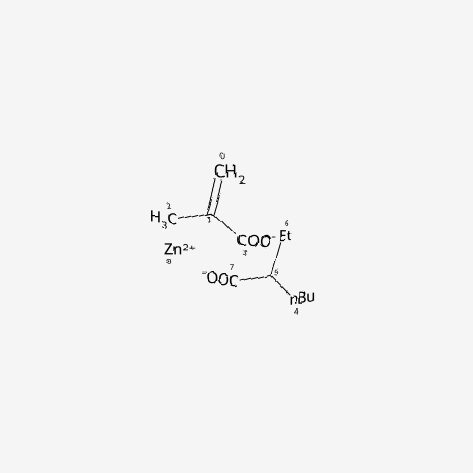 C=C(C)C(=O)[O-].CCCCC(CC)C(=O)[O-].[Zn+2]